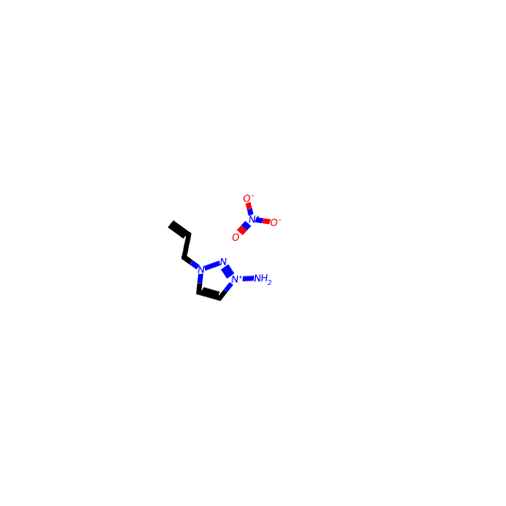 C=CCn1cc[n+](N)n1.O=[N+]([O-])[O-]